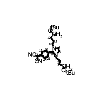 CC(C)(C)O[SiH2]CCCN1CCN(CCC[SiH2]OC(C)(C)C)C1=c1ccc(=C(C#N)C#N)cc1